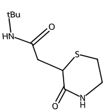 CC(C)(C)NC(=O)CC1SCCNC1=O